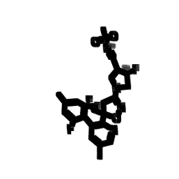 Cc1cc(F)c(-c2cc(C)cnc2C2(CF)CC(N3CC(C#[N+]S(C)(=O)=O)[C@@H](F)C3)=NO2)c(F)c1